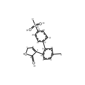 Cc1ccc(C2=CCOC2=O)c(-c2ccc(S(C)(=O)=O)cc2)c1